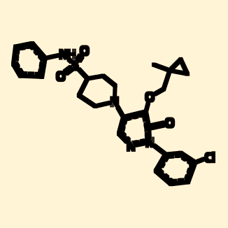 CC1(COc2c(N3CCC(S(=O)(=O)Nc4ccccc4)CC3)cnn(-c3cccc(Cl)c3)c2=O)CC1